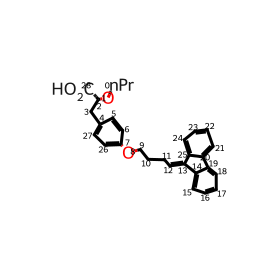 CCCOC(Cc1ccc(OCCCC=C2c3ccccc3-c3ccccc32)cc1)C(=O)O